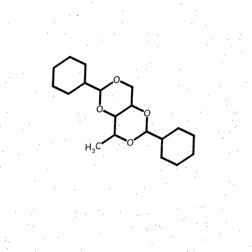 CC1OC(C2CCCCC2)OC2COC(C3CCCCC3)OC12